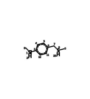 C[SiH](C)c1ccc(C[SH](C)C)cc1